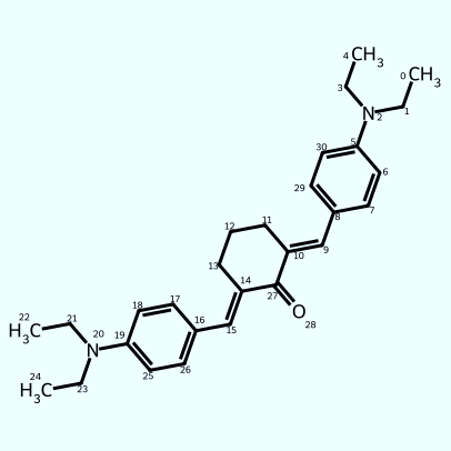 CCN(CC)c1ccc(C=C2CCCC(=Cc3ccc(N(CC)CC)cc3)C2=O)cc1